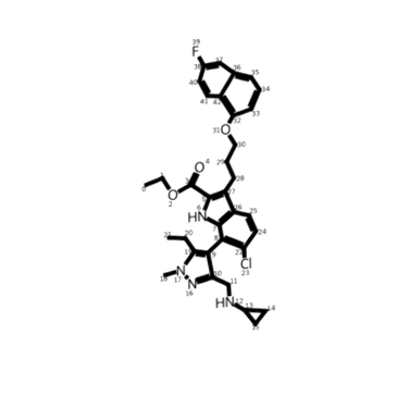 CCOC(=O)c1[nH]c2c(-c3c(CNC4CC4)nn(C)c3CC)c(Cl)ccc2c1CCCOc1cccc2cc(F)ccc12